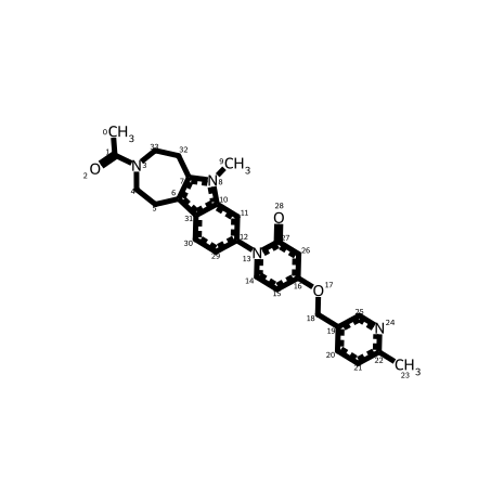 CC(=O)N1CCc2c(n(C)c3cc(-n4ccc(OCc5ccc(C)nc5)cc4=O)ccc23)CC1